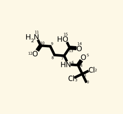 CC(Cl)(Cl)C(=O)NC(CCC(N)=O)C(=O)O